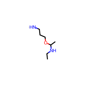 CCNC(C)OCCC[NH]